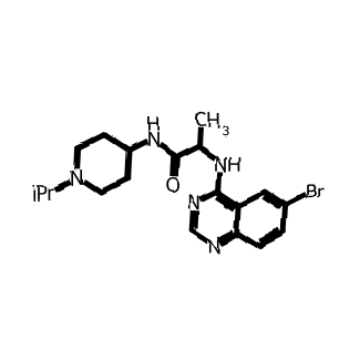 CC(Nc1ncnc2ccc(Br)cc12)C(=O)NC1CCN(C(C)C)CC1